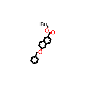 CCC(C)COC(=O)c1ccc2cc(OCc3ccccc3)ccc2c1